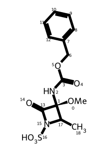 CO[C@]1(NC(=O)OCc2ccccc2)C(=O)N(S(=O)(=O)O)C1C